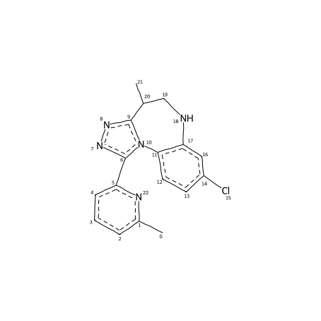 Cc1cccc(-c2nnc3n2-c2ccc(Cl)cc2NCC3C)n1